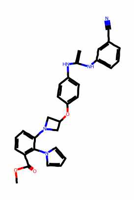 C=C(Nc1ccc(OC2CN(c3cccc(C(=O)OC)c3-n3cccc3)C2)cc1)Nc1cccc(C#N)c1